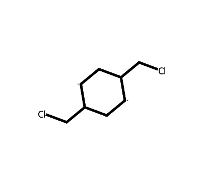 ClCC1[CH]CC(CCl)[CH]C1